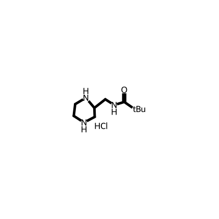 CC(C)(C)C(=O)NCC1CNCCN1.Cl